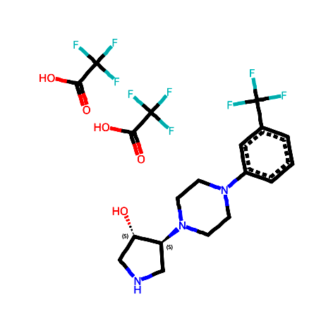 O=C(O)C(F)(F)F.O=C(O)C(F)(F)F.O[C@H]1CNC[C@@H]1N1CCN(c2cccc(C(F)(F)F)c2)CC1